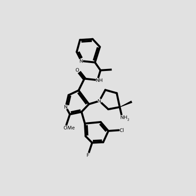 COc1ncc(C(=O)NC(C)c2ccccn2)c(N2CC[C@](C)(N)C2)c1-c1cc(F)cc(Cl)c1